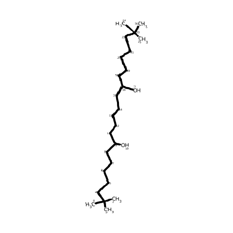 CC(C)(C)CCCCCC(O)CCCCCC(O)CCCCCC(C)(C)C